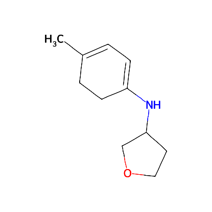 CC1=CC=C(NC2CCOC2)CC1